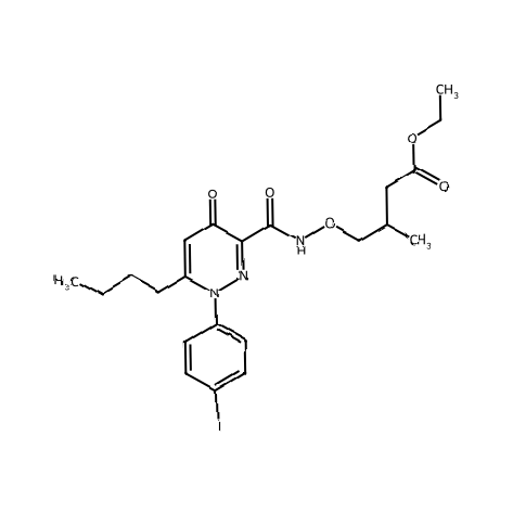 CCCCc1cc(=O)c(C(=O)NOCC(C)CC(=O)OCC)nn1-c1ccc(I)cc1